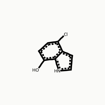 Oc1ccc(Cl)c2cc[nH]c12